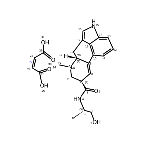 C[C@@H](CO)NC(=O)[C@@H]1C=C2c3cccc4[nH]cc(c34)C[C@H]2N(C)C1.O=C(O)/C=C\C(=O)O